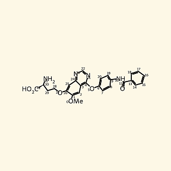 COc1cc2c(Oc3ccc(NC(=O)c4ccccc4)cc3)ncnc2cc1OCC[C@H](N)C(=O)O